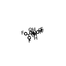 O=S(=O)(Nc1ccc(OC(F)(F)F)cc1)N1CC(O)CC(C(c2ccc(F)cc2)c2ccc(F)cc2)C1